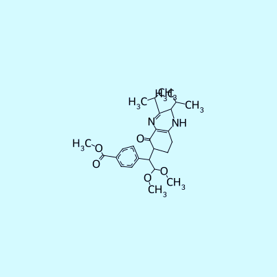 COC(=O)c1ccc(C(C(OC)OC)C2CCC3=C(N=C(C(C)C)C(C(C)C)N3)C2=O)cc1